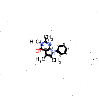 Cc1c(C)n(-c2ccccc2)c2nc(C)n(C)c(=O)c12